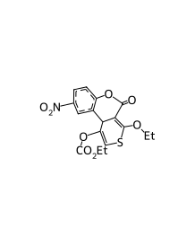 CCOC(=O)OC1=CSC(OCC)=C2C(=O)Oc3ccc([N+](=O)[O-])cc3C12